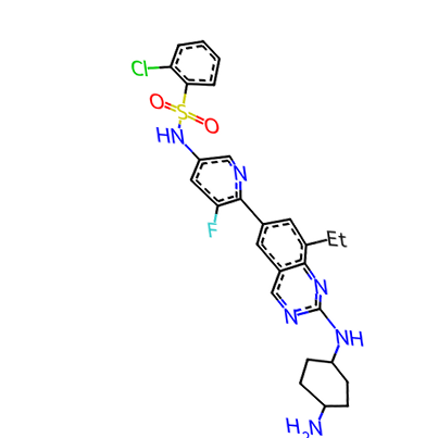 CCc1cc(-c2ncc(NS(=O)(=O)c3ccccc3Cl)cc2F)cc2cnc(NC3CCC(N)CC3)nc12